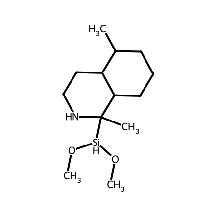 CO[SiH](OC)C1(C)NCCC2C(C)CCCC21